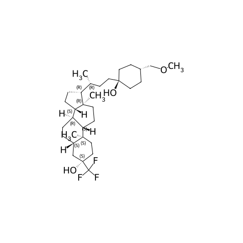 COC[C@H]1CC[C@@](O)(CC[C@@H](C)[C@H]2CC[C@H]3[C@@H]4CC[C@H]5C[C@](O)(C(F)(F)F)CC[C@]5(C)[C@H]4CC[C@]23C)CC1